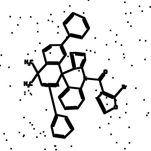 CC1(C)c2ccc(-c3ccccc3)cc2C2(c3ccccc3N(C(=O)c3ccoc3Br)c3ccccc32)c2cc(-c3ccccc3)ccc21